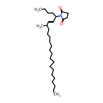 CCCCCCCCCCCCCCCCCC(C)/C=C/C(CCCC)N1C(=O)CCC1=O